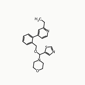 CCc1cc(-c2ccccc2COC(c2cncs2)N2CCOCC2)ccn1